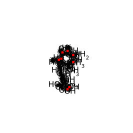 C[C@@H](O)[C@H](NC(=O)C1CSSCC(NC(=O)C(Cc2ccccc2)NC(=O)CC(=O)CNNCC(=O)NC(=S)Nc2ccc(C[C@H](CN(CC(=O)O)CC(=O)O)N(COO)[C@@H](C)CN(CC(=O)O)CC(=O)O)cc2)C(=O)N[C@@H](Cc2ccc(O)cc2)C(=O)N[C@@H](Cc2c[nH]c3ccccc23)C(=O)N[C@@H](CCCCN)C(=O)N[C@@H]([C@@H](C)O)C(=O)N1)C(=O)O